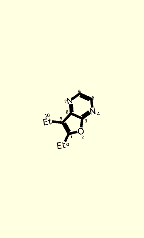 CCc1oc2nccnc2c1CC